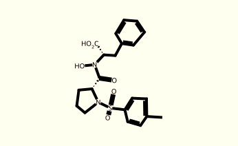 Cc1ccc(S(=O)(=O)N2CCC[C@@H]2C(=O)N(O)[C@@H](Cc2ccccc2)C(=O)O)cc1